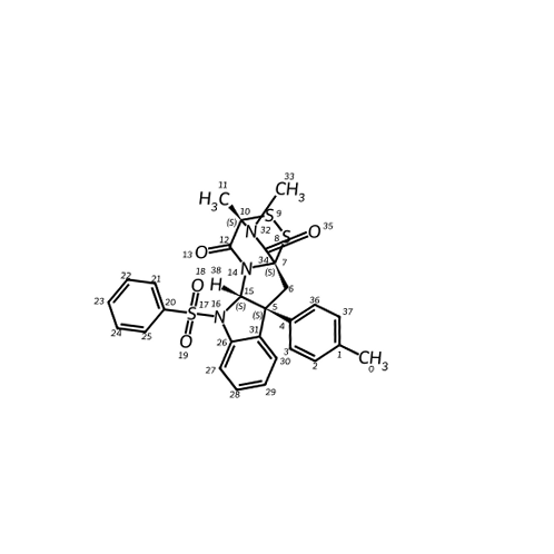 Cc1ccc([C@]23C[C@@]45SS[C@@](C)(C(=O)N4[C@H]2N(S(=O)(=O)c2ccccc2)c2ccccc23)N(C)C5=O)cc1